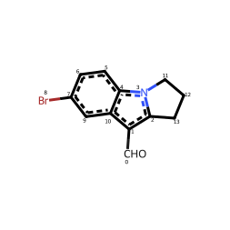 O=Cc1c2n(c3ccc(Br)cc13)CCC2